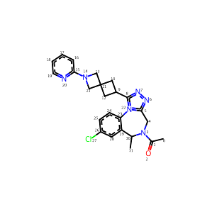 CC(=O)N1Cc2nnc(C3CC4(C3)CN(c3ccccn3)C4)n2-c2ccc(Cl)cc2C1C